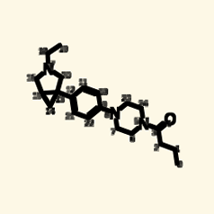 CCCC(=O)N1CCN(c2ccc(C34CC3CN(CC)C4)cc2)CC1